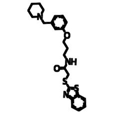 O=C(CSc1nc2ccccc2s1)NCCCOc1cccc(CN2CCCCC2)c1